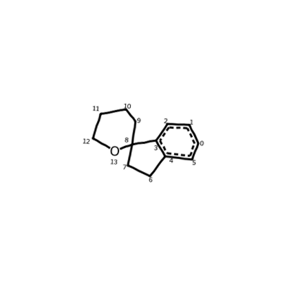 c1ccc2c(c1)CCC21CCCCO1